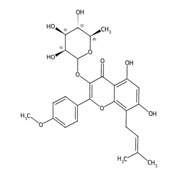 COc1ccc(-c2oc3c(CC=C(C)C)c(O)cc(O)c3c(=O)c2OC2O[C@H](C)[C@@H](O)[C@H](O)[C@@H]2O)cc1